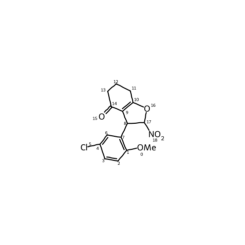 COc1ccc(Cl)cc1C1C2=C(CCCC2=O)OC1[N+](=O)[O-]